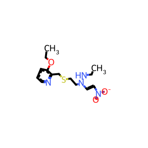 CCNN(C=C[N+](=O)[O-])CCSCc1ncccc1OCC